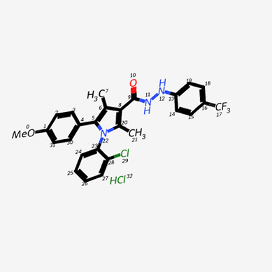 COc1ccc(-c2c(C)c(C(=O)NNc3ccc(C(F)(F)F)cc3)c(C)n2-c2ccccc2Cl)cc1.Cl